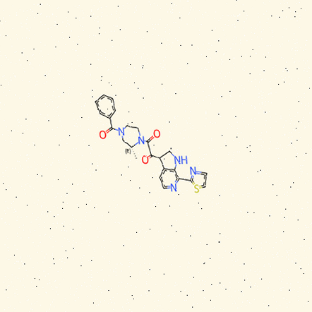 C[C@@H]1CN(C(=O)c2ccccc2)CCN1C(=O)C(=O)C1CNc2c1ccnc2-c1nccs1